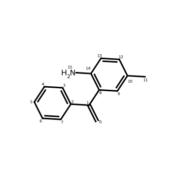 C=C(c1ccccc1)c1cc(C)ccc1N